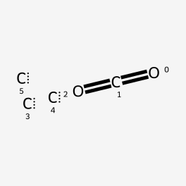 O=C=O.[C].[C].[C]